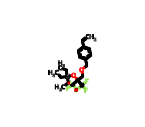 C=Cc1ccc(COCC(O[Si](CC)(CC)CC)(C(F)(F)F)C(F)(F)F)cc1